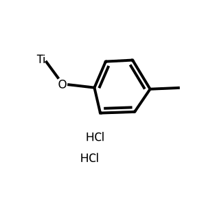 Cc1ccc([O][Ti])cc1.Cl.Cl